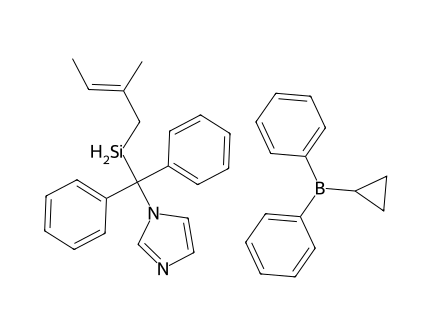 CC=C(C)C[SiH2]C(c1ccccc1)(c1ccccc1)n1ccnc1.c1ccc(B(c2ccccc2)C2CC2)cc1